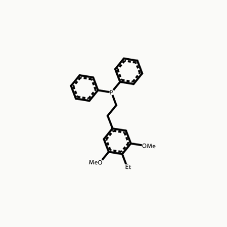 CCc1c(OC)cc(CCP(c2ccccc2)c2ccccc2)cc1OC